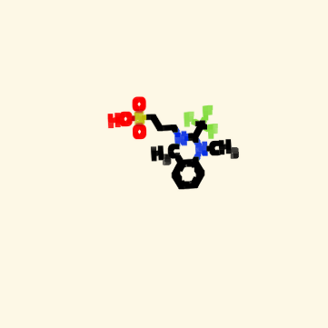 Cc1ccccc1N(C)/C(=N/CCCS(=O)(=O)O)C(F)(F)F